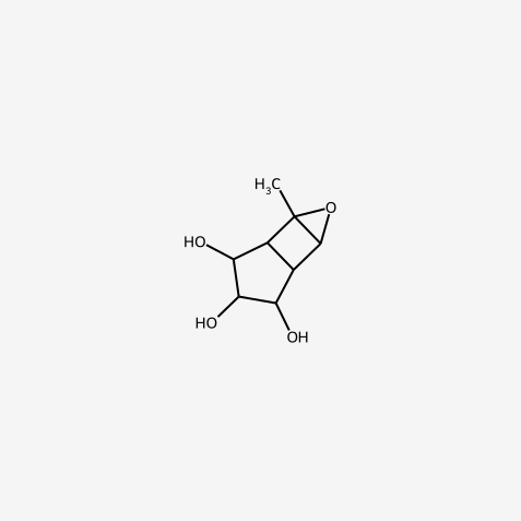 CC12OC1C1C(O)C(O)C(O)C12